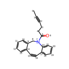 CC#CCCC(=O)N1Cc2ccccc2C#Cc2ccccc21